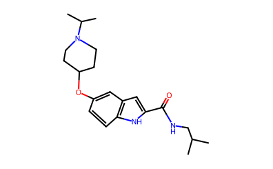 CC(C)CNC(=O)c1cc2cc(OC3CCN(C(C)C)CC3)ccc2[nH]1